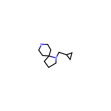 C1CN(CC2CC2)C2(C1)CC[N]CC2